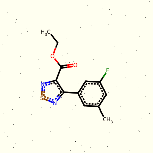 CCOC(=O)c1nsnc1-c1cc(C)cc(F)c1